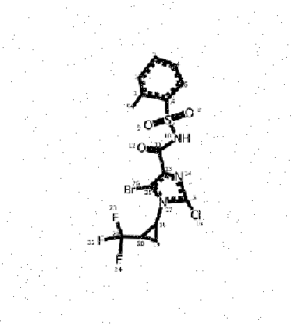 Cc1ccccc1S(=O)(=O)NC(=O)c1nc(Cl)n(C2CC2C(F)(F)F)c1Br